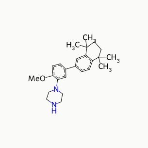 COc1ccc(-c2ccc3c(c2)C(C)(C)CCC3(C)C)cc1N1CCNCC1